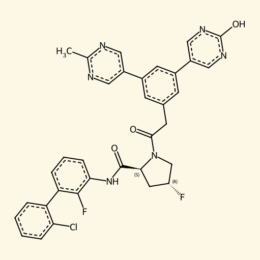 Cc1ncc(-c2cc(CC(=O)N3C[C@H](F)C[C@H]3C(=O)Nc3cccc(-c4ccccc4Cl)c3F)cc(-c3cnc(O)nc3)c2)cn1